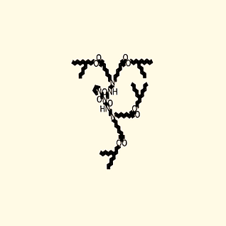 CCCCCC(CCCCC)CCCOC(=O)C(C)(C)CCCCCCN(CCCCCCC(C)(C)C(=O)OCCCC(CCCCC)CCCCC)CCNC(=O)CN(CC(=O)NCCN(CCCCCCC(C)(C)C(=O)OCCCC(CCCCC)CCCCC)CCCCCCC(C)(C)C(=O)OCCCC(CCCCC)CCCCC)C(=O)CN1CCCC1